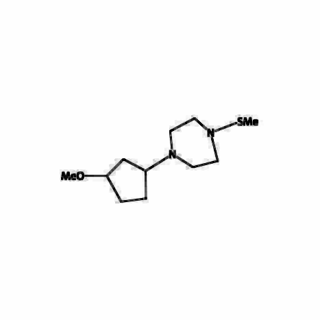 COC1CCC(N2CCN(SC)CC2)C1